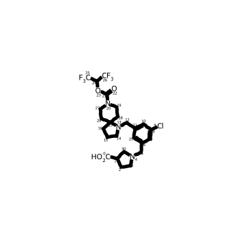 O=C(O)C1CCN(Cc2cc(Cl)cc(CN3CCCC34CCN(C(=O)OC(C(F)(F)F)C(F)(F)F)CC4)c2)C1